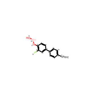 CCCCCc1ccc(-c2ccc(OBO)c(F)c2)cc1